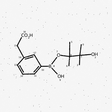 CC(C)(O)C(C)(C)OB(O)c1cccc(CC(=O)O)c1